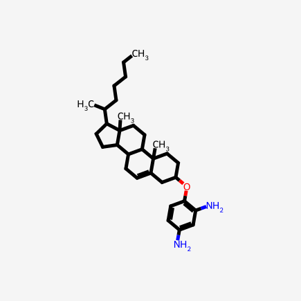 CCCCCC(C)C1CCC2C3CC=C4CC(Oc5ccc(N)cc5N)CCC4(C)C3CCC12C